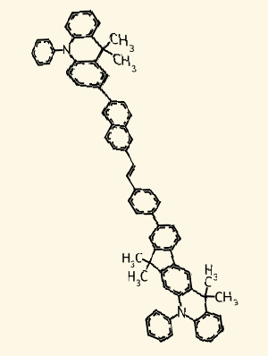 CC1(C)c2cc(-c3ccc(/C=C/c4ccc5cc(-c6ccc7c(c6)C(C)(C)c6ccccc6N7c6ccccc6)ccc5c4)cc3)ccc2-c2cc3c(cc21)N(c1ccccc1)c1ccccc1C3(C)C